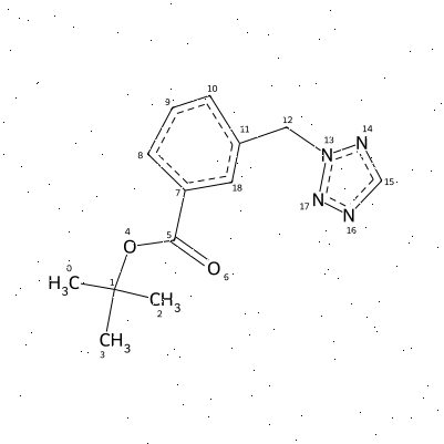 CC(C)(C)OC(=O)c1cccc(Cn2ncnn2)c1